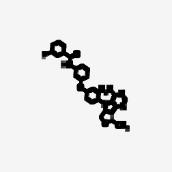 CC1OCc2c1c1ncnc(N)c1n2-c1ccc(Oc2cccc(NC(=O)c3cccc(F)c3)c2)cc1